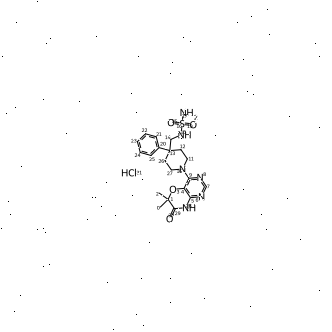 CC1(C)Oc2c(ncnc2N2CCC(CNS(N)(=O)=O)(c3ccccc3)CC2)NC1=O.Cl